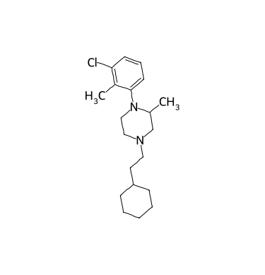 Cc1c(Cl)cccc1N1CCN(CCC2CCCCC2)CC1C